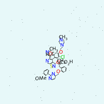 COc1ccccc1-c1nccc(COc2ccccc2C[C@@H](Oc2nsc3cnc(-c4cnc(C)o4)c(C4=C(C)C(Cl)=C(OCCN5CCN(C)CC5)CC4C)c23)C(=O)O)n1